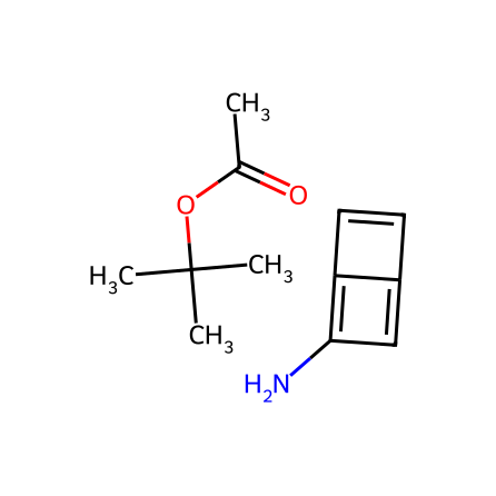 CC(=O)OC(C)(C)C.Nc1cc2ccc1-2